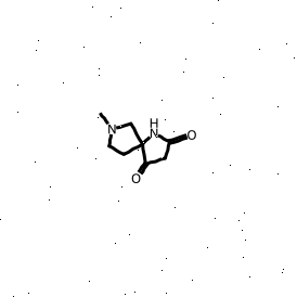 CN1CCC2(C1)NC(=O)CC2=O